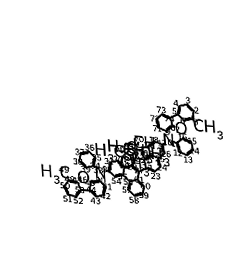 Cc1cccc2c1oc1c(N(c3ccccc3)c3ccc4c5c(ccc4c3)-c3c(c4ccc(N(c6ccccc6)c6cccc7c6oc6c(C)cccc67)cc4c4ccccc34)C5([Si](C)(C)C)[Si](C)(C)C)cccc12